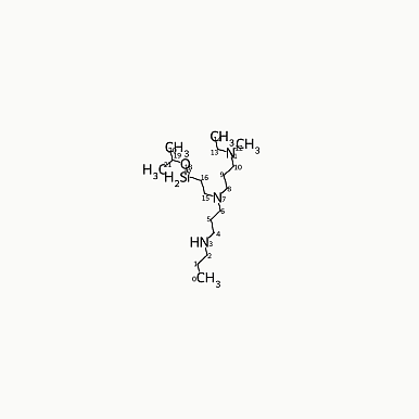 CCCNCCCN(CCCN(C)CC)CC[SiH2]OC(C)C